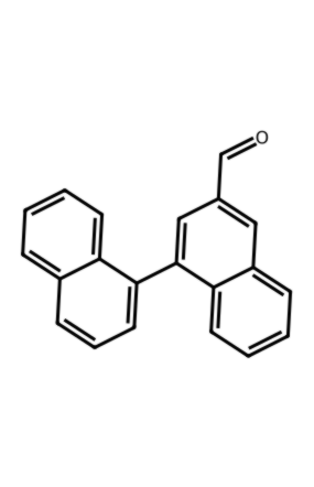 O=Cc1cc(-c2cccc3ccccc23)c2ccccc2c1